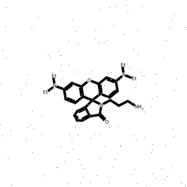 CCN(CC)c1ccc2c(c1)Oc1cc(N(CC)CC)ccc1C21c2ccccc2C(=O)N1CCCN